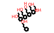 CCC(O)c1ccccc1.CCCO.OCCCc1ccccc1.OCCCc1ccccc1.OCCCc1ccccc1.OCCCc1ccccc1